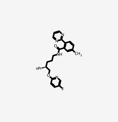 CCC[C@@H](CCCNC(=O)c1cc(C)ccc1-c1ncccn1)COc1ccc(F)cn1